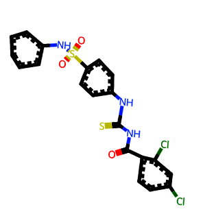 O=C(NC(=S)Nc1ccc(S(=O)(=O)Nc2ccccc2)cc1)c1ccc(Cl)cc1Cl